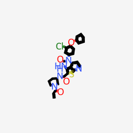 C=CC(=O)N1CCCC(NC(=O)c2sc3nccc4c3c2NC(=O)N4c2ccc(Oc3ccccc3)c(Cl)c2)C1